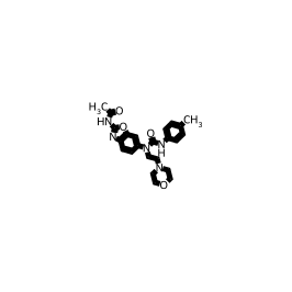 CC(=O)Nc1nc2ccc(N(CCN3CCOCC3)C(=O)Nc3ccc(C)cc3)cc2o1